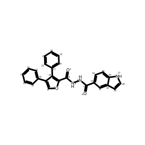 O=C(NNC(=O)c1occ(-c2ccccc2)c1-c1ccccc1)c1ccc2[nH]ccc2c1